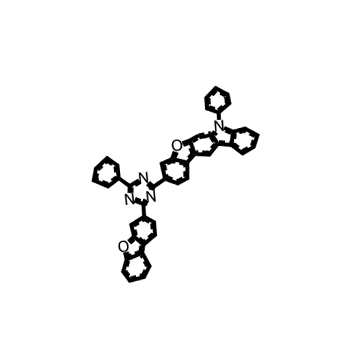 c1ccc(-c2nc(-c3ccc4c(c3)oc3ccccc34)nc(-c3ccc4c(c3)oc3cc5c(cc34)c3ccccc3n5-c3ccccc3)n2)cc1